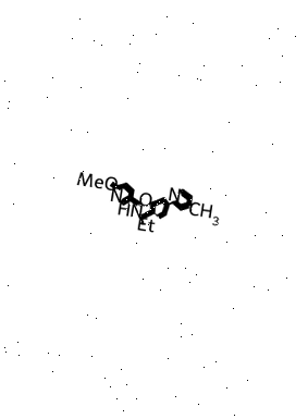 CC[C@@H](NC(=O)c1ccc(OC)nc1)[C@H]1CC[C@H](c2cc(C)ccn2)CC1